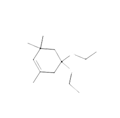 CCOC1(OCC)CC(C)=CC(C)(C)C1